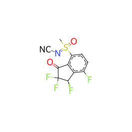 CS(=O)(=NC#N)c1ccc(F)c2c1C(=O)C(F)(F)[C@@H]2F